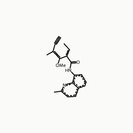 C#C/C(C)=C(OC)\C(=C/C)C(=O)Nc1cccc2ccc(C)nc12